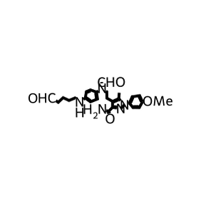 COc1ccc(-n2nc(C(N)=O)c(CCN(C=O)c3ccc(NCCCCC=O)cc3)c2C)cc1